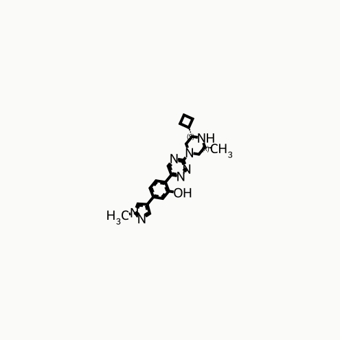 C[C@@H]1CN(c2ncc(-c3ccc(-c4cnn(C)c4)cc3O)nn2)C[C@H](C2CCC2)N1